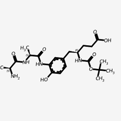 C[C@H](N)C(=O)N[C@@H](C)C(=O)Nc1cc(C[C@@H](CCC(=O)O)NC(=O)OC(C)(C)C)ccc1O